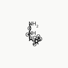 COc1c(C)c2c(c(O)c1C/C=C(\C)CCC(=O)NCCOCCN)C(=O)OC2